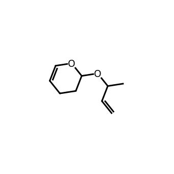 C=CC(C)OC1CCC=CO1